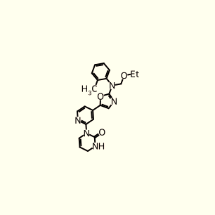 CCOCN(c1ncc(-c2ccnc(N3C=CCNC3=O)c2)o1)c1ccccc1C